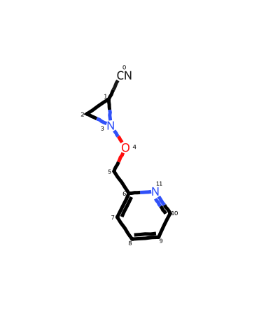 N#CC1CN1OCc1ccccn1